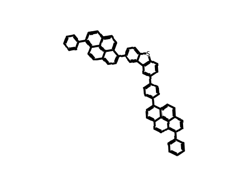 c1ccc(-c2ccc3ccc4c(-c5ccc(-c6ccc7sc8ccc(-c9ccc%10ccc%11c(-c%12ccccc%12)ccc%12ccc9c%10c%12%11)cc8c7c6)cc5)ccc5ccc2c3c54)cc1